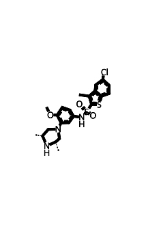 COc1ccc(NS(=O)(=O)c2sc3ccc(Cl)cc3c2C)cc1N1C[C@@H](C)N[C@@H](C)C1